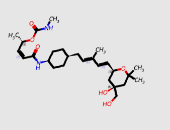 CNC(=O)O[C@@H](C)/C=C\C(=O)N[C@H]1CC[C@@H](C/C=C(C)/C=C/[C@@H]2C[C@@](O)(CO)CC(C)(C)O2)CC1